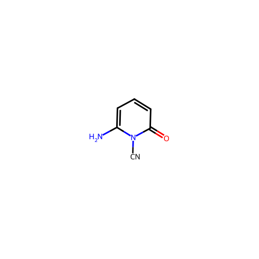 N#Cn1c(N)cccc1=O